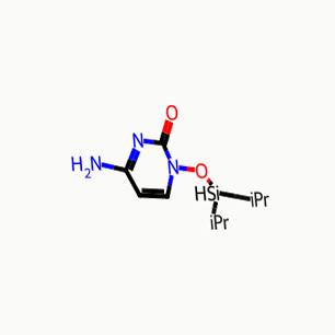 CC(C)[SiH](On1ccc(N)nc1=O)C(C)C